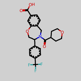 O=C(O)c1ccc2c(c1)OCC(c1ccc(C(F)(F)F)cc1)N(C(=O)C1CCOCC1)C2